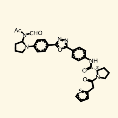 CC(=O)N(C=O)C1CCCN1c1ccc(-c2nnc(-c3ccc(NC(=O)[C@@H]4CCCN4C(=O)Cc4cccs4)cc3)o2)cc1